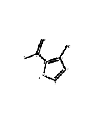 C=C(C)c1sccc1C